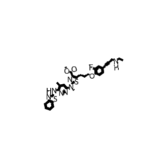 CCNCC#Cc1ccc(OCCCc2sc(N(C)c3cc(C)c(Nc4nc5ccccc5s4)nn3)nc2C(=O)OC)c(F)c1